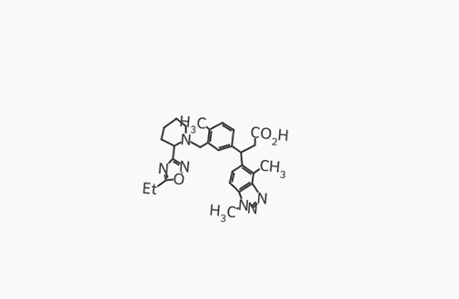 CCc1nc(C2CCCCN2Cc2cc(C(CC(=O)O)c3ccc4c(nnn4C)c3C)ccc2C)no1